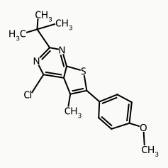 COc1ccc(-c2sc3nc(C(C)(C)C)nc(Cl)c3c2C)cc1